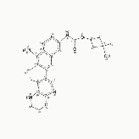 Cc1c(-c2cc3cc(NC(=O)OC4CC(C)(O)C4)ncc3c(N)c2F)cnc2c1NCCO2